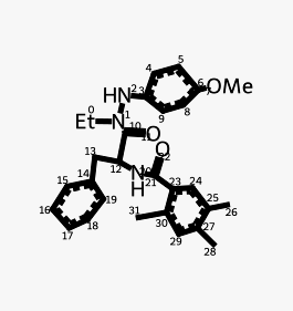 CCN(Nc1ccc(OC)cc1)C(=O)C(Cc1ccccc1)NC(=O)c1cc(C)c(C)cc1C